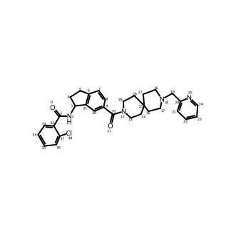 O=C(NC1CCc2ccc(C(=O)N3CCC4(CCN(Cc5ccccn5)CC4)CC3)cc21)c1ccccc1Cl